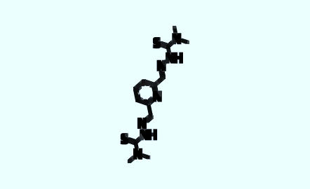 CN(C)C(=S)N/N=C/c1cccc(/C=N/NC(=S)N(C)C)n1